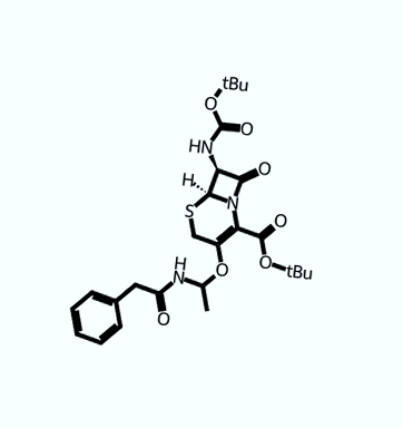 CC(NC(=O)Cc1ccccc1)OC1=C(C(=O)OC(C)(C)C)N2C(=O)[C@H](NC(=O)OC(C)(C)C)[C@@H]2SC1